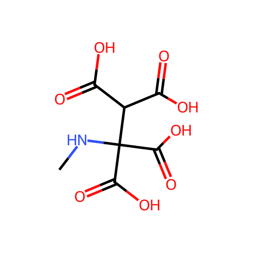 CNC(C(=O)O)(C(=O)O)C(C(=O)O)C(=O)O